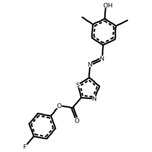 Cc1cc(/N=N/c2cnc(C(=O)Oc3ccc(F)cc3)s2)cc(C)c1O